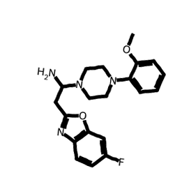 COc1ccccc1N1CCN(C(N)Cc2nc3ccc(F)cc3o2)CC1